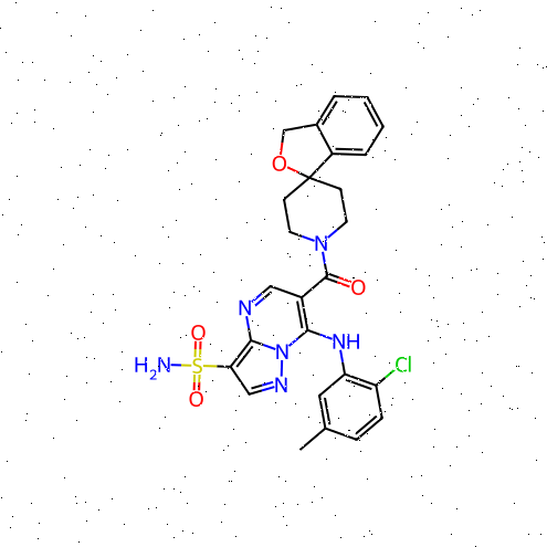 Cc1ccc(Cl)c(Nc2c(C(=O)N3CCC4(CC3)OCc3ccccc34)cnc3c(S(N)(=O)=O)cnn23)c1